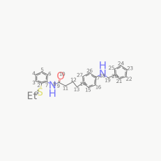 CCSc1ccccc1NC(=O)CCCc1ccc(NCc2ccccc2)cc1